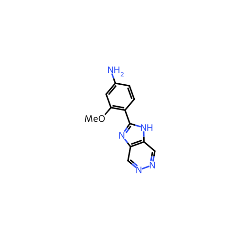 COc1cc(N)ccc1-c1nc2cnncc2[nH]1